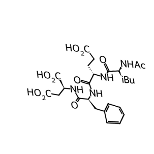 CC[C@H](C)[C@H](NC(C)=O)C(=O)N[C@@H](CCC(=O)O)C(=O)N[C@@H](Cc1ccccc1)C(=O)N[C@@H](CC(=O)O)C(=O)O